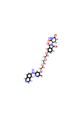 Cc1cnc(Nc2ccc3cnccc3c2)cc1OCCOCCOCCOc1ccc2c(c1)C(=O)N(C1CCC(=O)NC1=O)C2=O